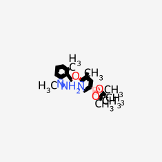 Cc1cc(B2OC(C)(C)C(C)(C)O2)cnc1OCc1c(C)cccc1N(C)N